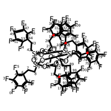 Fc1c(F)c(F)c(CC[Si]23O[Si]4(CCc5c(F)c(F)c(F)c(F)c5F)O[Si]5(CCc6c(F)c(F)c(F)c(F)c6F)O[Si](CCc6c(F)c(F)c(F)c(F)c6F)(O2)O[Si]2(CCc6c(F)c(F)c(F)c(F)c6F)[Si](CCc6c(F)c(F)c(F)c(F)c6F)(O3)O[Si](CCc3c(F)c(F)c(F)c(F)c3F)(O4)[Si@@]2(CCc2c(F)c(F)c(F)c(F)c2F)O5)c(F)c1F